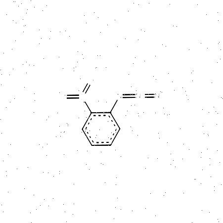 [N-]=[N+]=Nc1ccccc1[SH](=O)=O